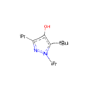 CC(C)c1nn(C(C)C)c(C(C)(C)C)c1O